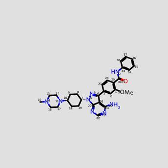 COc1cc(-c2nn([C@H]3CC[C@H](N4CCN(C)CC4)CC3)c3ncnc(N)c23)ccc1C(=O)Nc1ccccc1